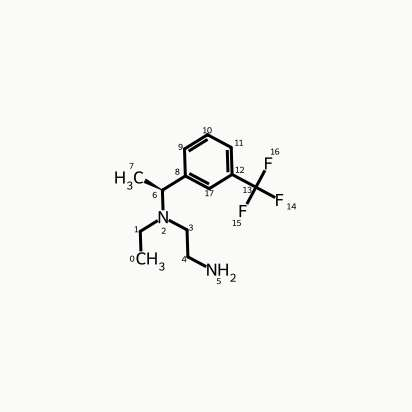 CCN(CCN)[C@@H](C)c1cccc(C(F)(F)F)c1